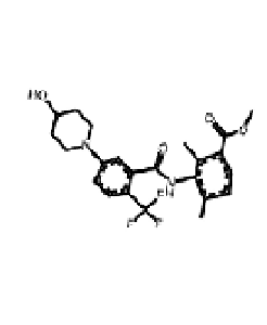 COC(=O)c1ccc(C)c(NC(=O)c2cc(N3CCC(O)CC3)ccc2C(F)(F)F)c1C